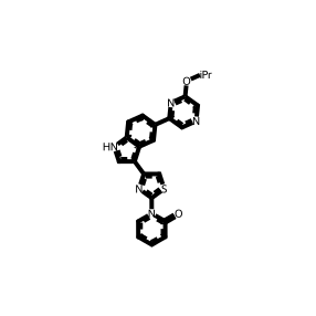 CC(C)Oc1cncc(-c2ccc3[nH]cc(-c4csc(-n5ccccc5=O)n4)c3c2)n1